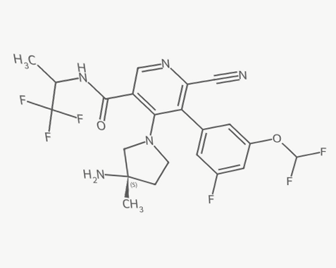 CC(NC(=O)c1cnc(C#N)c(-c2cc(F)cc(OC(F)F)c2)c1N1CC[C@](C)(N)C1)C(F)(F)F